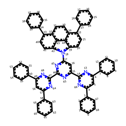 c1ccc(-c2cc(-c3ccccc3)nc(-c3cc(-n4c5ccc(-c6ccccc6)c6ccc7c(-c8ccccc8)ccc4c7c65)nc(-c4nc(-c5ccccc5)cc(-c5ccccc5)n4)n3)n2)cc1